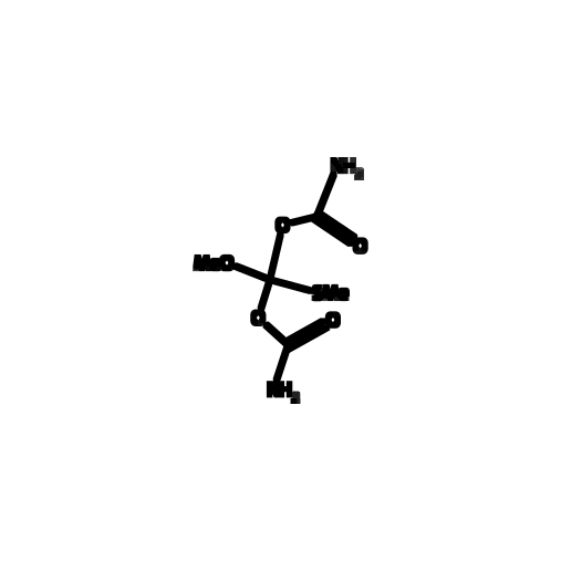 COC(OC(N)=O)(OC(N)=O)SC